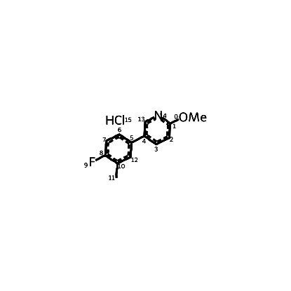 COc1ccc(-c2ccc(F)c(C)c2)cn1.Cl